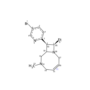 CC[C@@H]1[C@H](c2ccc(Br)cn2)C2CN(C)C/C=C\CN21